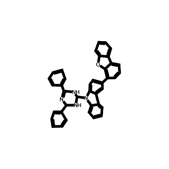 c1ccc(C2=NC(c3ccccc3)NC(n3c4ccccc4c4cc(-c5cccc6c5oc5ccccc56)ccc43)N2)cc1